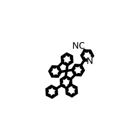 N#Cc1ccnc(-c2ccc3c(c2)C2(c4ccccc4-c4ccccc42)c2cc(-c4ccccc4)c4ccccc4c2-3)c1